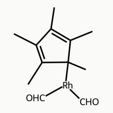 CC1=C(C)[C](C)([Rh]([CH]=O)[CH]=O)C(C)=C1C